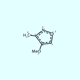 COc1csnc1C